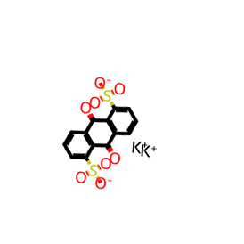 O=C1c2cccc(S(=O)(=O)[O-])c2C(=O)c2cccc(S(=O)(=O)[O-])c21.[K+].[K+]